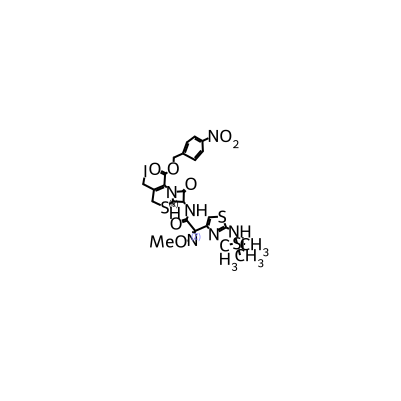 CO/N=C(\C(=O)NC1C(=O)N2C(C(=O)OCc3ccc([N+](=O)[O-])cc3)=C(CI)CS[C@H]12)c1csc(N[Si](C)(C)C)n1